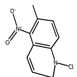 Cc1ccc2c(c1[N+](=O)[O-])C=CCN2Cl